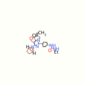 C=CCC1(C)OCc2c(N3C[C@H]4CC[C@@H](C3)O4)nc(-c3ccc(NC(=O)NCC)cc3)nc21